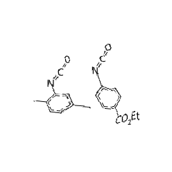 CCOC(=O)c1ccc(N=C=O)cc1.Cc1ccc(C)c(N=C=O)c1